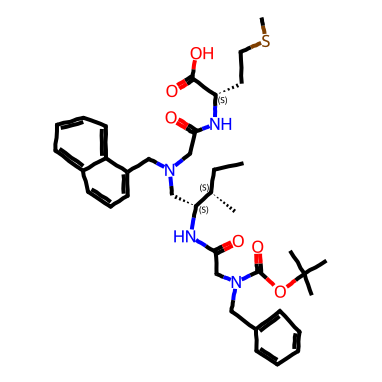 CC[C@H](C)[C@@H](CN(CC(=O)N[C@@H](CCSC)C(=O)O)Cc1cccc2ccccc12)NC(=O)CN(Cc1ccccc1)C(=O)OC(C)(C)C